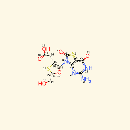 Nc1nc2c(sc(=O)n2[C@H]2O[C@H](CO)S[C@@H]2CC(=O)O)c(=O)[nH]1